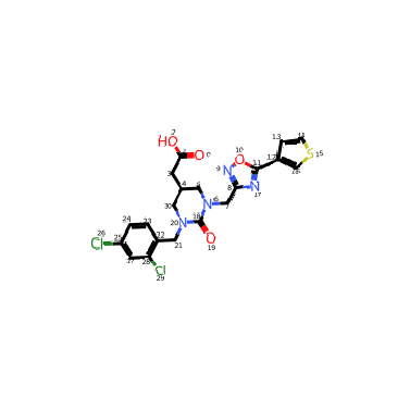 O=C(O)CC1CN(Cc2noc(-c3ccsc3)n2)C(=O)N(Cc2ccc(Cl)cc2Cl)C1